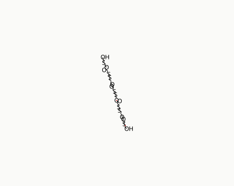 O=C(CCSCSCCCOOCCSCSCCOC(=O)CCSCSCCCOOCCSCCO)OCCSCCO